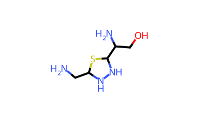 NCC1NNC(C(N)CO)S1